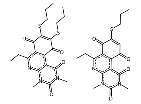 CCCSC1=C(SCCC)C(=O)c2c(c(CC)nc3c2c(=O)n(C)c(=O)n3C)C1=O.CCCSC1=CC(=O)c2c(c(CC)nc3c2c(=O)n(C)c(=O)n3C)C1=O